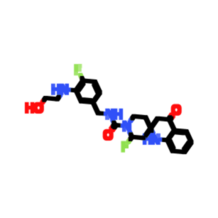 O=C1CC2(CCN(C(=O)NCc3ccc(F)c(NCCO)c3)C(F)C2)Nc2ccccc21